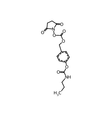 CCCNC(=O)Oc1ccc(COC(=O)ON2C(=O)CCC2=O)cc1